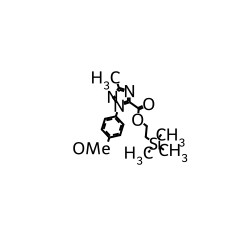 COc1ccc(-n2nc(C)nc2C(=O)OCC[Si](C)(C)C)cc1